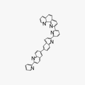 c1ccc(-c2ccc3cc(-c4ccc5nc(-c6cccc(-c7ccc8ccc9cccnc9c8n7)n6)ccc5c4)ccc3n2)nc1